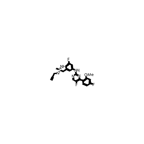 C#CCN=S(C)(=N)Cc1cc(F)cc(Nc2ncc(F)c(-c3ccc(F)cc3OC)n2)c1